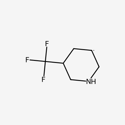 FC(F)(F)C1C[CH]CNC1